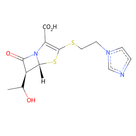 CC(O)[C@H]1C(=O)N2C(C(=O)O)=C(SCCn3ccnc3)S[C@H]12